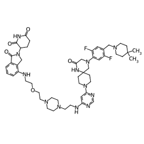 CC1(C)CCN(Cc2cc(F)c(N3CC(=O)NC4(CCN(c5cc(NCCN6CCN(CCOCCNc7cccc8c7CN(C7CCC(=O)NC7=O)C8=O)CC6)ncn5)CC4)C3)cc2F)CC1